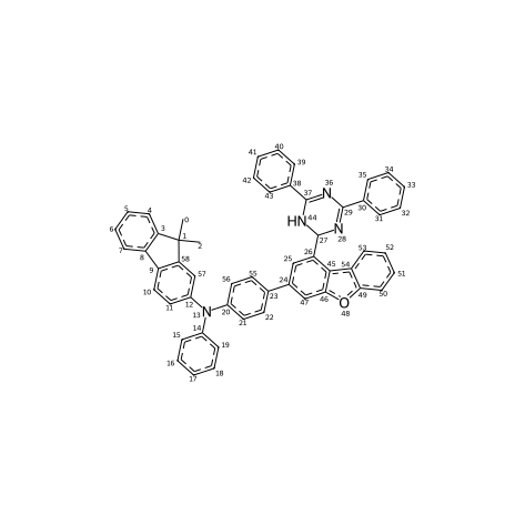 CC1(C)c2ccccc2-c2ccc(N(c3ccccc3)c3ccc(-c4cc(C5N=C(c6ccccc6)N=C(c6ccccc6)N5)c5c(c4)oc4ccccc45)cc3)cc21